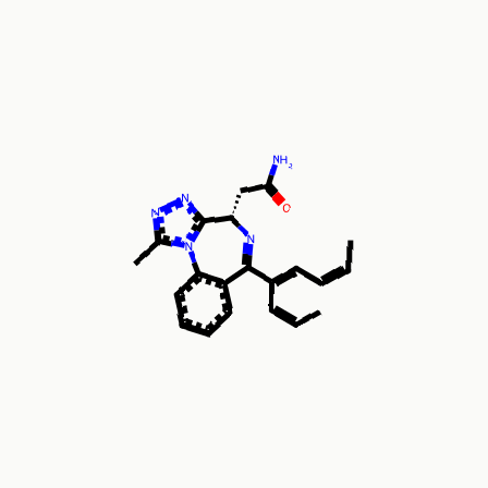 C\C=C/C=C(\C=C/C)C1=N[C@@H](CC(N)=O)c2nnc(C)n2-c2ccccc21